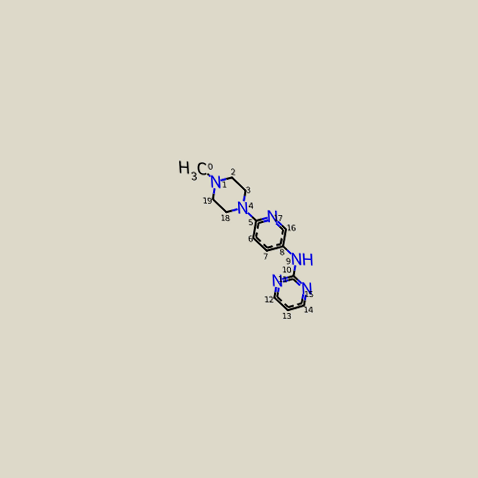 CN1CCN(c2ccc(Nc3ncccn3)cn2)CC1